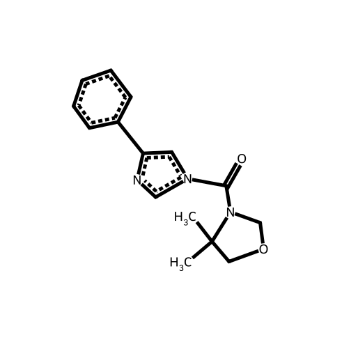 CC1(C)COCN1C(=O)n1cnc(-c2ccccc2)c1